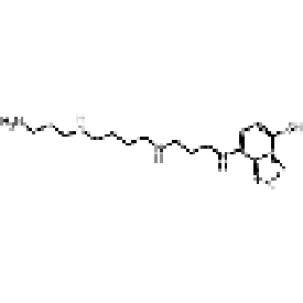 NCCCNCCCCNCCCNc1ccc(S)c2nonc12